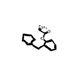 C=CC(=O)Oc1ccccc1Cc1ccccc1